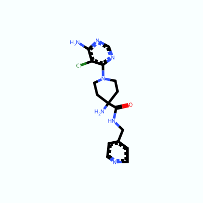 Nc1ncnc(N2CCC(N)(C(=O)NCc3ccncc3)CC2)c1Cl